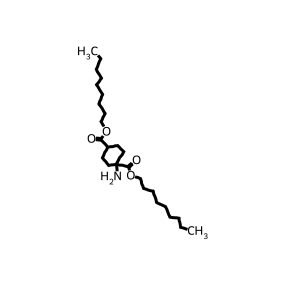 CCCCCCCCCOC(=O)C1CCC(N)(C(=O)OCCCCCCCCC)CC1